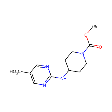 CC(C)(C)OC(=O)N1CCC(Nc2ncc(C(=O)O)cn2)CC1